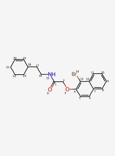 O=C(COc1ccc2ccccc2c1Br)NCCC1C=CCCC1